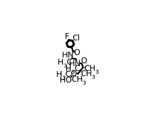 C[C@@H](CNC(=O)[C@H](C)C(C)(C)COC(C)(C)O)NC(=O)c1ccc(F)c(Cl)c1